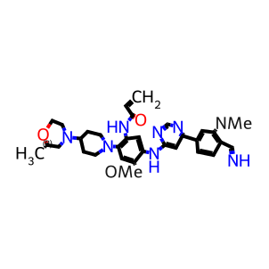 C=CC(=O)Nc1cc(Nc2cc(-c3ccc(C=N)c(NC)c3)ncn2)c(OC)cc1N1CCC(N2CCO[C@H](C)C2)CC1